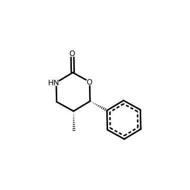 C[C@@H]1CNC(=O)O[C@@H]1c1ccccc1